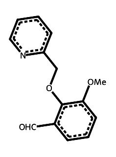 COc1cccc(C=O)c1OCc1ccccn1